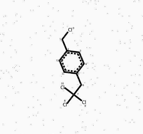 ClCc1ccc(CC(Cl)(Cl)Cl)cc1